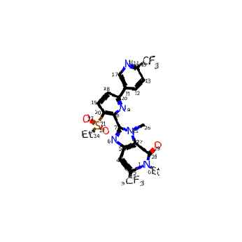 CCn1c(C(F)(F)F)cc2nc(-c3nc(-c4ccc(C(F)(F)F)nc4)ccc3S(=O)(=O)CC)n(C)c2c1=O